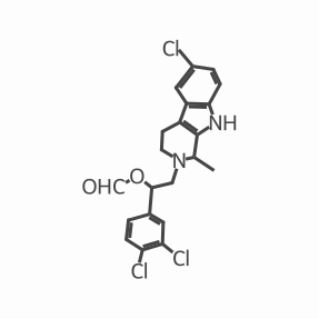 CC1c2[nH]c3ccc(Cl)cc3c2CCN1CC(OC=O)c1ccc(Cl)c(Cl)c1